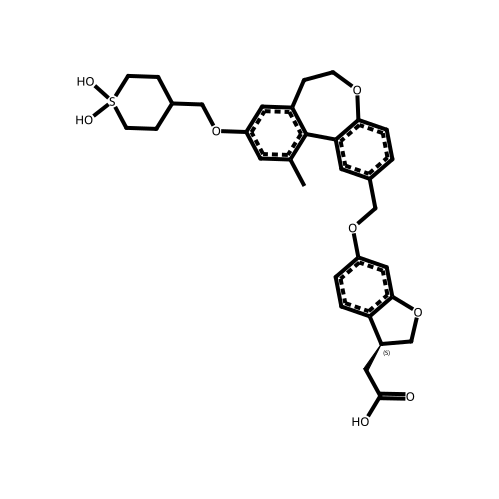 Cc1cc(OCC2CCS(O)(O)CC2)cc2c1-c1cc(COc3ccc4c(c3)OC[C@H]4CC(=O)O)ccc1OCC2